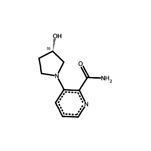 NC(=O)c1ncccc1N1CC[C@H](O)C1